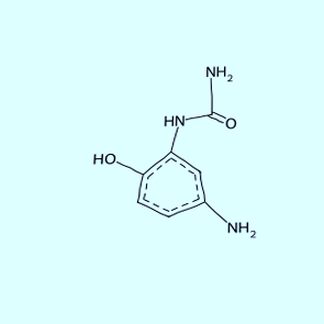 NC(=O)Nc1cc(N)ccc1O